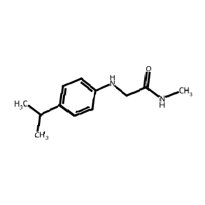 CNC(=O)CNc1ccc(C(C)C)cc1